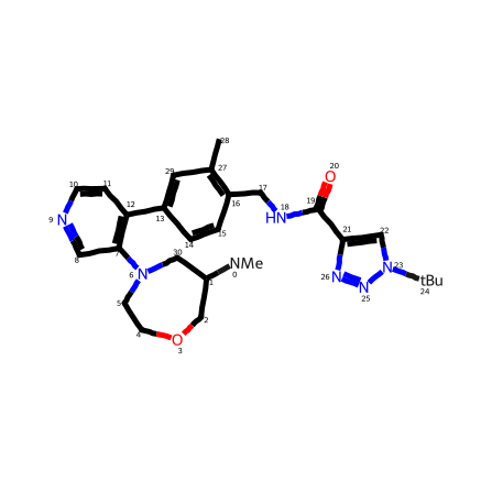 CNC1COCCN(c2cnccc2-c2ccc(CNC(=O)c3cn(C(C)(C)C)nn3)c(C)c2)C1